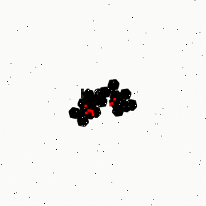 Cc1ccc(N(c2ccccc2)c2ccc3c4c(c5ccccc5c3c2)-c2c(ccc3ccccc23)C42c3ccccc3-c3ccccc32)cc1-c1cccc2c3c(ccc12)C1(c2ccccc2-c2ccccc21)c1c-3c2ccccc2c2cc(N(c3ccccc3)c3ccccc3-c3ccccc3)ccc12